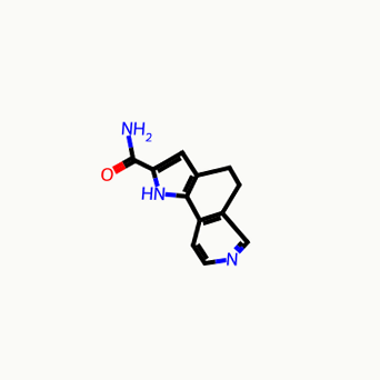 NC(=O)c1cc2c([nH]1)-c1ccncc1CC2